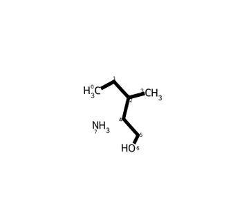 CC[C](C)CCO.N